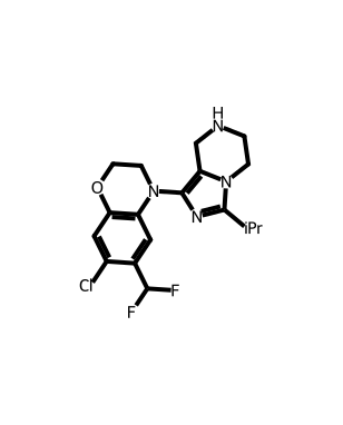 CC(C)c1nc(N2CCOc3cc(Cl)c(C(F)F)cc32)c2n1CCNC2